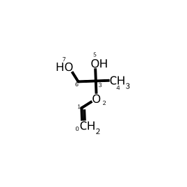 C=COC(C)(O)CO